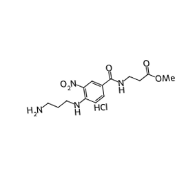 COC(=O)CCNC(=O)c1ccc(NCCCN)c([N+](=O)[O-])c1.Cl